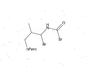 CCCCCCC(C)C(Br)NC(=O)Br